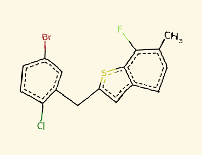 Cc1ccc2cc(Cc3cc(Br)ccc3Cl)sc2c1F